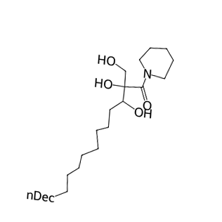 CCCCCCCCCCCCCCCCCCC(O)C(O)(CO)C(=O)N1CCCCC1